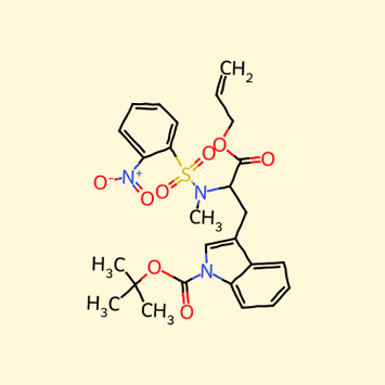 C=CCOC(=O)C(Cc1cn(C(=O)OC(C)(C)C)c2ccccc12)N(C)S(=O)(=O)c1ccccc1[N+](=O)[O-]